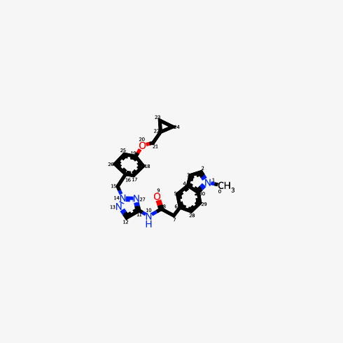 Cn1ccc2cc(CC(=O)Nc3cnn(Cc4ccc(OCC5CC5)cc4)n3)ccc21